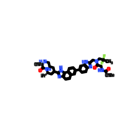 COC(=O)NCC(=O)N(Cc1nc2ccc(-c3ccc4c(ccc5nc(C(CCCN)C[C@@H](NC(=O)OC)C(C)C)[nH]c54)c3)cc2[nH]1)CC(C)(F)F